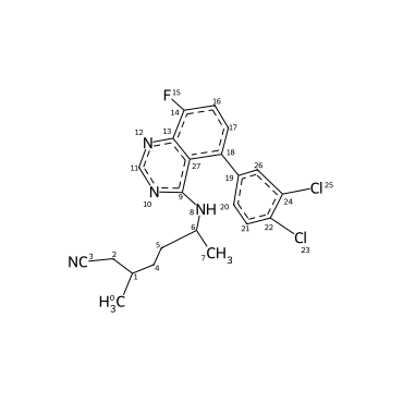 CC(CC#N)CCC(C)Nc1ncnc2c(F)ccc(-c3ccc(Cl)c(Cl)c3)c12